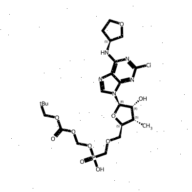 C[C@H]1[C@@H](O)[C@H](n2cnc3c(N[C@H]4CCOC4)nc(Cl)nc32)O[C@@H]1COCP(=O)(O)OCOC(=O)OCC(C)(C)C